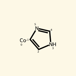 [Co].c1c[nH]cn1